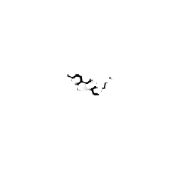 CNc1nc(C(C)C)ccc1-c1nc2c(C)cn([C@@H](C)COC)c2nc1Cl